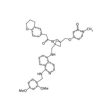 COc1ccc(CNc2nccc3c(NCC45CC(COc6ccn(C)c(=O)c6)(CN4C(=O)Cc4ccc6c(c4)CCCO6)C5)cccc23)c(OC)c1